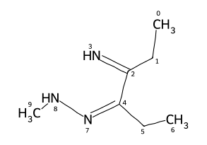 CCC(=N)/C(CC)=N\NC